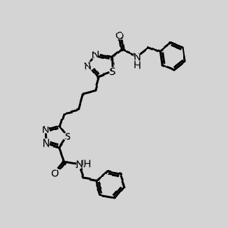 O=C(NCc1ccccc1)c1nnc(CCCCc2nnc(C(=O)NCc3ccccc3)s2)s1